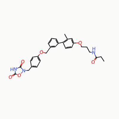 CCC(=O)NCCCOc1ccc(-c2cccc(COc3ccc(Cn4oc(=O)[nH]c4=O)cc3)c2)c(C)c1